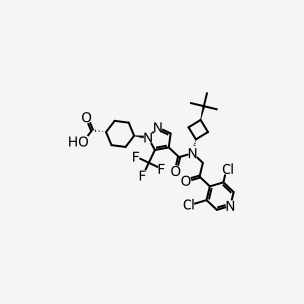 CC(C)(C)[C@H]1C[C@H](N(CC(=O)c2c(Cl)cncc2Cl)C(=O)c2cnn([C@H]3CC[C@H](C(=O)O)CC3)c2C(F)(F)F)C1